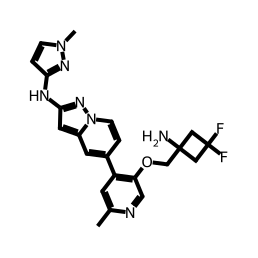 Cc1cc(-c2ccn3nc(Nc4ccn(C)n4)cc3c2)c(OCC2(N)CC(F)(F)C2)cn1